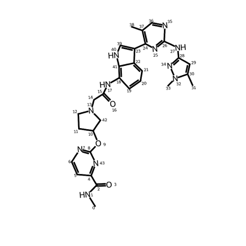 CNC(=O)c1ccnc(OC2CCN(CC(=O)Nc3cccc4c(-c5nc(Nc6cc(C)n(C)n6)ncc5C)c[nH]c34)C2)n1